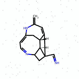 C=C1C=C2[C@H]3C/C(=C\C=N/C4CC2(C=N)[C@@H]43)N1